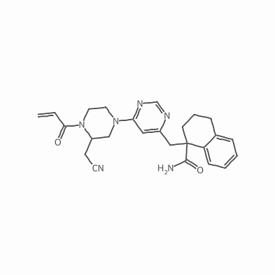 C=CC(=O)N1CCN(c2cc(CC3(C(N)=O)CCCc4ccccc43)ncn2)CC1CC#N